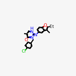 CCc1oc2ccc(/N=c3\[nH]cc(C)c(=O)n3Cc3ccc(Cl)cc3)cc2c1C